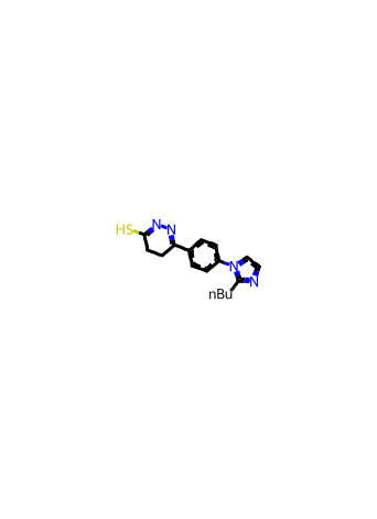 CCCCc1nccn1-c1ccc(C2=NN=C(S)CC2)cc1